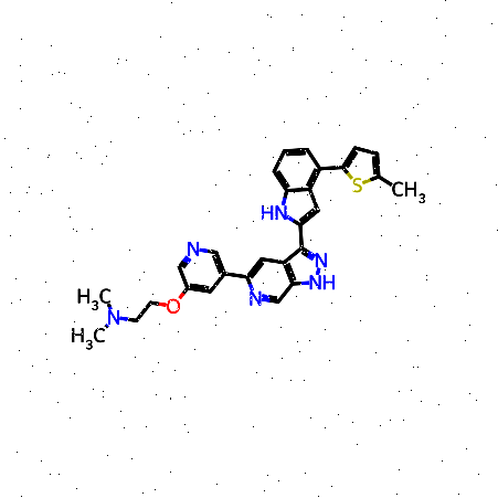 Cc1ccc(-c2cccc3[nH]c(-c4n[nH]c5cnc(-c6cncc(OCCN(C)C)c6)cc45)cc23)s1